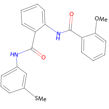 COc1ccccc1C(=O)Nc1ccccc1C(=O)Nc1cccc(SC)c1